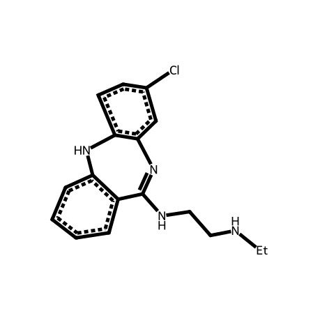 CCNCCNC1=Nc2cc(Cl)ccc2Nc2ccccc21